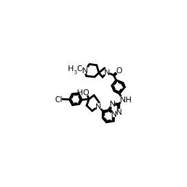 CN1CCC2(CC1)CN(C(=O)c1ccc(Nc3nc4c(N5CCC(O)(c6ccc(Cl)cc6)CC5)cccn4n3)cc1)C2